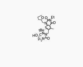 CCn1c(=O)c2c(C)c(CN(C(N)=O)N(C(=O)O)C(C)(C)C)sc2n(CC2CCCO2)c1=O